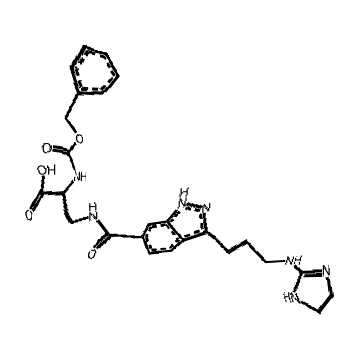 O=C(NC(CNC(=O)c1ccc2c(CCCNC3=NCCN3)n[nH]c2c1)C(=O)O)OCc1ccccc1